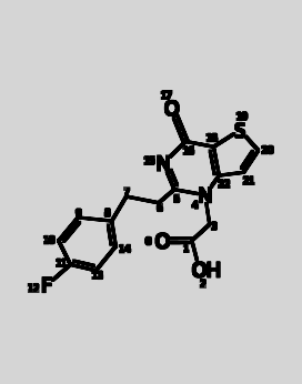 O=C(O)Cn1c(CCc2ccc(F)cc2)nc(=O)c2sccc21